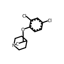 Clc1ccc(OC2CN3CCC2CC3)c(Cl)c1